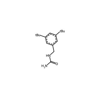 CC(C)(C)c1cc(CNC(N)=O)cc(C(C)(C)C)c1